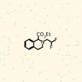 CCOC(=O)C1c2ccccc2CCN1CC(F)F